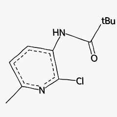 Cc1ccc(NC(=O)C(C)(C)C)c(Cl)n1